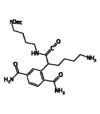 CCCCCCCCCCCCCCNC(=C=O)C(CCCCN)c1cc(C(N)=O)ccc1C(N)=O